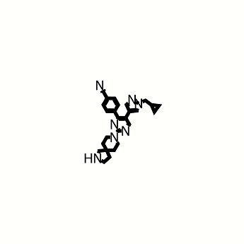 N#Cc1ccc(-c2nc(N3CCC4(CCNC4)CC3)ncc2-c2cnn(CC3CC3)c2)cc1